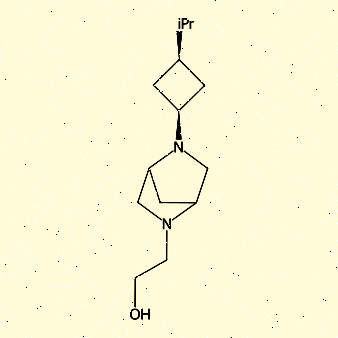 CC(C)[C@H]1C[C@@H](N2CC3CC2CN3CCO)C1